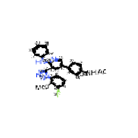 COc1c(F)cccc1-n1nnnc1-c1cc(-c2ccc(NC(C)=O)cc2)cnc1Nc1ccccc1